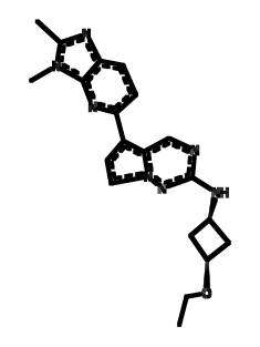 CCO[C@H]1C[C@@H](Nc2ncc3c(-c4ccc5nc(C)n(C)c5n4)ccn3n2)C1